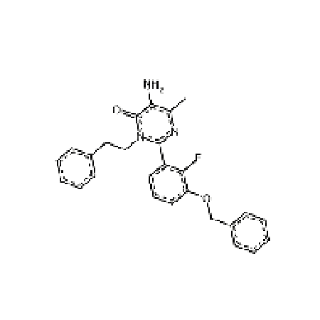 Cc1nc(-c2cccc(OCc3ccccc3)c2F)n(CCc2ccccc2)c(=O)c1N